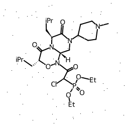 CCOP(=O)(OCC)C(Cl)C(=O)N1O[C@H](CC(C)C)C(=O)N2[C@@H]1CN(C1CCN(C)CC1)C(=O)[C@@H]2CC(C)C